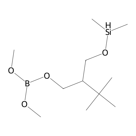 COB(OC)OCC(CO[SiH](C)C)C(C)(C)C